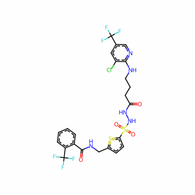 O=C(CCCNc1ncc(C(F)(F)F)cc1Cl)NNS(=O)(=O)c1ccc(CNC(=O)c2ccccc2C(F)(F)F)s1